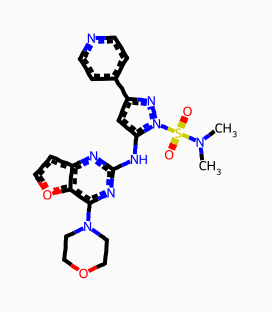 CN(C)S(=O)(=O)n1nc(-c2ccncc2)cc1Nc1nc(N2CCOCC2)c2occc2n1